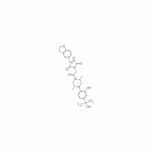 CCCc1cc(C(O)(C(F)(F)F)C(F)(F)F)ccc1N1CC(C)N(C(=O)CN2C(=O)N[C@](C)(c3ccc4c(c3)CCO4)C2=O)CC1C